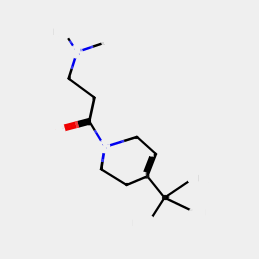 CN(C)CCC(=O)N1CC=C(C(C)(C)C)CC1